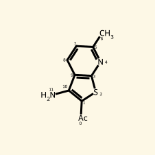 CC(=O)c1sc2nc(C)ccc2c1N